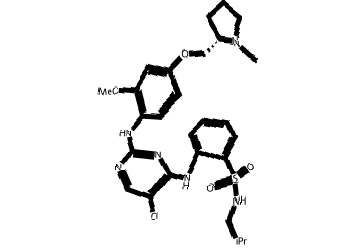 COc1cc(OC[C@@H]2CCCN2C)ccc1Nc1ncc(Cl)c(Nc2ccccc2S(=O)(=O)NCC(C)C)n1